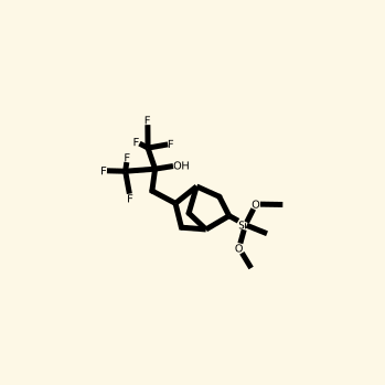 CO[Si](C)(OC)C1CC2CC1CC2CC(O)(C(F)(F)F)C(F)(F)F